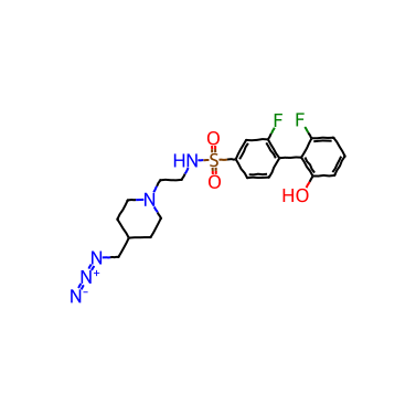 [N-]=[N+]=NCC1CCN(CCNS(=O)(=O)c2ccc(-c3c(O)cccc3F)c(F)c2)CC1